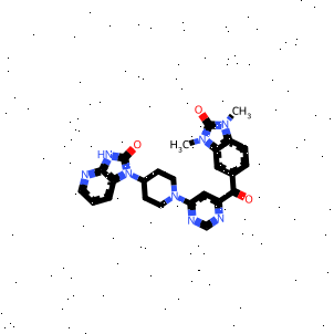 Cn1c(=O)n(C)c2cc(C(=O)c3cc(N4CCC(n5c(=O)[nH]c6ncccc65)CC4)ncn3)ccc21